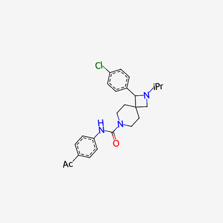 CC(=O)c1ccc(NC(=O)N2CCC3(CC2)CN(C(C)C)C3c2ccc(Cl)cc2)cc1